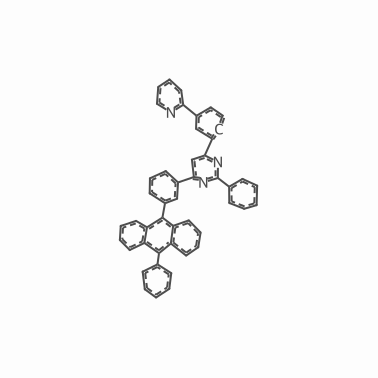 c1ccc(-c2nc(-c3cccc(-c4ccccn4)c3)cc(-c3cccc(-c4c5ccccc5c(-c5ccccc5)c5ccccc45)c3)n2)cc1